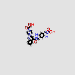 O=C(O)NC[C@H]1CC[C@H](CNC(=O)c2cc(N3CCN(C(=O)CO)CC3)nc3ccccc23)CC1